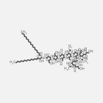 CCCCCCCCCCCCC/C=C/[C@@H](O)[C@H](CO[C@@H]1OC(CO)[C@@H](O[C@@H]2OC(CO)[C@H](O[C@@H]3OC(CO)[C@H](O)[C@H](O[C@@H]4OC(CO)[C@H](O)[C@H](O[C@@H]5OC(CO[C@]6(C(=O)O)CC(O)[C@@H](NC(C)=O)C([C@H](O)[C@H](O)CO)O6)[C@H](O)[C@H](O[C@]6(C(=O)O)CC(O)[C@@H](NC(C)=O)C([C@H](O)[C@H](O)CO)O6)C5O)C4NC(C)=O)C3O)[C@H](O)C2O)[C@H](O)C1O)NC(=O)CCCCCCCCCCCCCCCCC